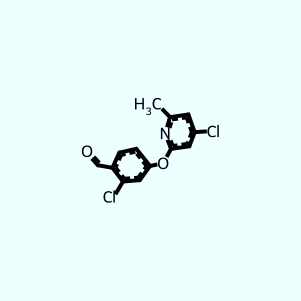 Cc1cc(Cl)cc(Oc2ccc(C=O)c(Cl)c2)n1